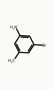 [CH2]c1cc(N)cc(Br)c1